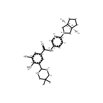 CC1(C)COC(c2cc(C(=O)Nc3ccc(N4C[C@H]5CCC[C@H]5C4)nc3)cc(F)c2O)OC1